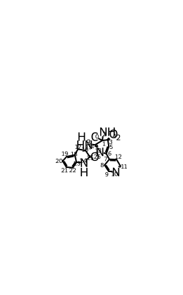 CC1(N)C(=O)C=C(c2ccncc2)N=C1N[C@H]1Cc2ccccc2NC1=O